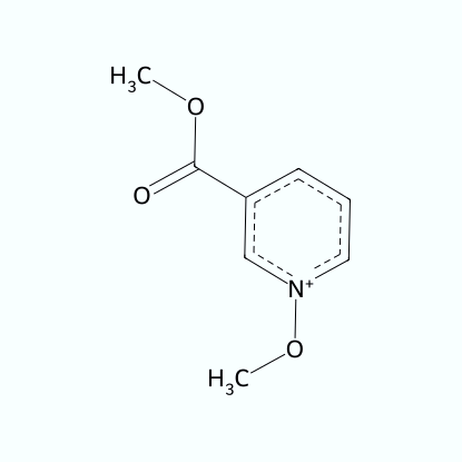 COC(=O)c1ccc[n+](OC)c1